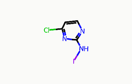 Clc1ccnc(NI)n1